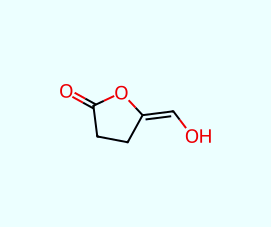 O=C1CCC(=CO)O1